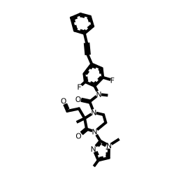 Cc1cn(C)c(N2CCN(C(=O)N(C)c3c(F)cc(C#Cc4ccccc4)cc3F)C(C)(CC=O)C2=O)n1